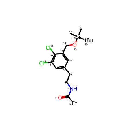 CCC(=O)NCCc1cc(Cl)c(Cl)c(CO[Si](C)(C)C(C)(C)C)c1